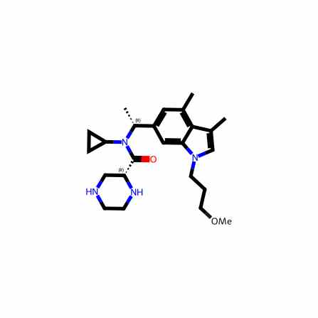 COCCCn1cc(C)c2c(C)cc([C@@H](C)N(C(=O)[C@H]3CNCCN3)C3CC3)cc21